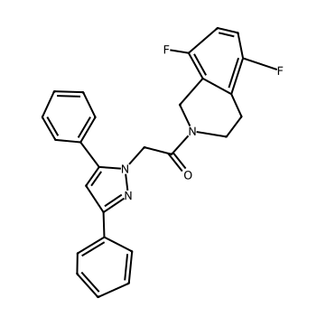 O=C(Cn1nc(-c2ccccc2)cc1-c1ccccc1)N1CCc2c(F)ccc(F)c2C1